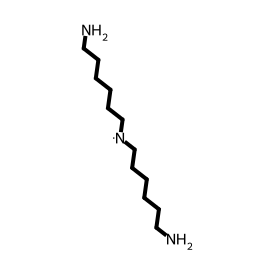 NCCCCCC[N]CCCCCCN